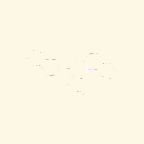 C1=CC2OC(c3ccc4ccccc4c3)c3ccccc3N2c2ccccc21